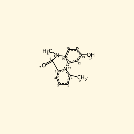 [CH2]c1cccc(C(=O)N(C)c2ccc(O)cc2)n1